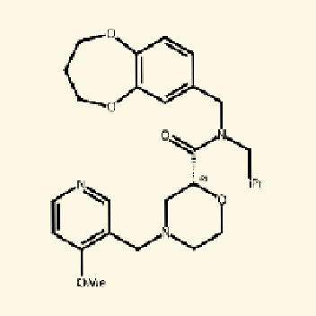 COc1ccncc1CN1CCO[C@@H](C(=O)N(Cc2ccc3c(c2)OCCCO3)CC(C)C)C1